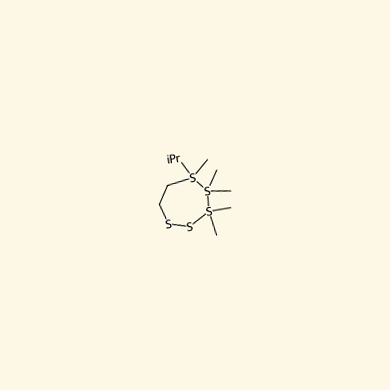 CC(C)S1(C)CCSSS(C)(C)S1(C)C